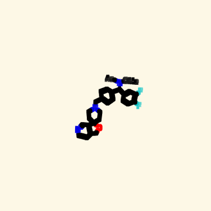 CON(C(C)=O)[C@@H](c1ccc(CN2CCC3(CC2)OCc2ccncc23)cc1)c1ccc(F)c(F)c1